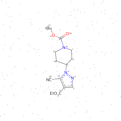 CCOC(=O)c1cnn(C2CCN(C(=O)OC(C)(C)C)CC2)c1C#N